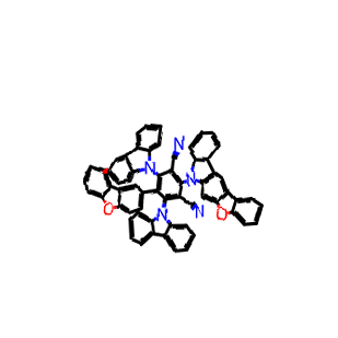 N#Cc1c(N2c3cc4oc5ccccc5c4cc3C3C=CC=CC32)c(C#N)c(-n2c3ccccc3c3ccccc32)c(-c2ccc3oc4ccccc4c3c2)c1-n1c2ccccc2c2ccccc21